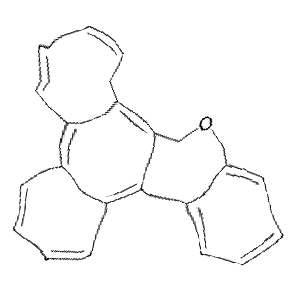 c1ccc2c(c1)oc1c3ccccc3c3ccccc3c21